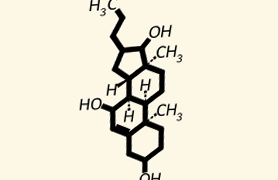 CCCC1C[C@H]2[C@@H]3C(O)C=C4CC(O)CC[C@]4(C)[C@@H]3CC[C@]2(C)C1O